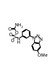 COc1ccc2c(c1)nnn2-c1cccc(NS(=O)(=O)OC(N)=O)c1